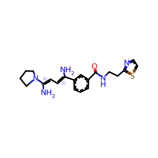 N/C(=C\C=C(/N)N1CCCC1)c1cccc(C(=O)NCCc2nccs2)c1